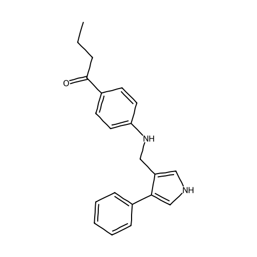 CCCC(=O)c1ccc(NCc2c[nH]cc2-c2ccccc2)cc1